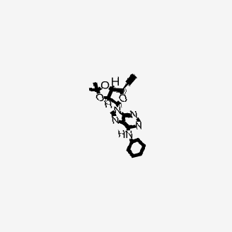 C#C[C@H]1O[C@@H](n2cnc3c(NC4CCCCC4)ncnc32)[C@@H]2OC(C)(C)O[C@@H]21